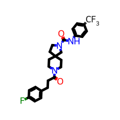 O=C(CCc1ccc(F)cc1)N1CCC2(CC1)CCN(C(=O)Nc1ccc(C(F)(F)F)cc1)C2